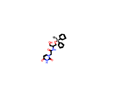 CC(C)(C)[Si](OCC(CO)NC(=O)Cn1ccc(=O)[nH]c1=O)(c1ccccc1)c1ccccc1